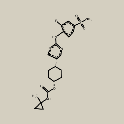 CC1(NC(=O)O[C@H]2CC[C@@H](c3cnc(Nc4ccc(S(N)(=O)=O)cc4F)nc3)CC2)CC1